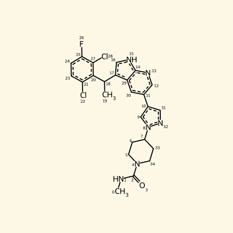 CNC(=O)N1CCC(n2cc(-c3cnc4[nH]cc(C(C)c5c(Cl)ccc(F)c5Cl)c4c3)cn2)CC1